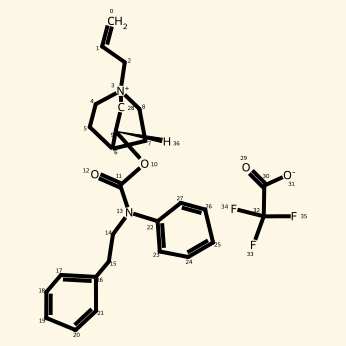 C=CC[N+]12CCC(CC1)[C@@H](OC(=O)N(CCc1ccccc1)c1ccccc1)C2.O=C([O-])C(F)(F)F